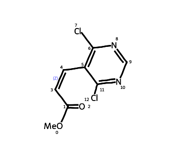 COC(=O)/C=C\c1c(Cl)ncnc1Cl